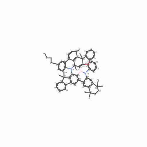 CCCCc1ccc2c(c1)C1(C)C=CC(C)C3=C1C1(C)C(=C4Oc5ccccc5C43C)B3c4c(cc5c(c4N21)C(C)(C)c1ccccc1-5)-c1cc2c(cc1N3c1ccccc1)C(C)(C)CCC2(C)C